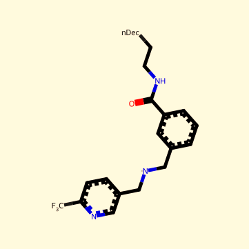 CCCCCCCCCCCCNC(=O)c1cccc(C[N]Cc2ccc(C(F)(F)F)nc2)c1